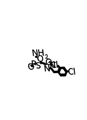 NCOC(SP=O)c1nc(Cc2ccc(Cl)cc2Cl)no1